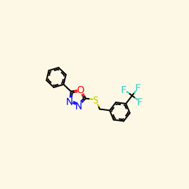 FC(F)(F)c1cccc(CSc2nnc(-c3ccccc3)o2)c1